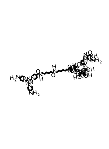 Nc1nc2c(ncn2[C@H]2CC(O)[C@@H](COP(=O)(O)OP(=O)(O)OP(=O)(O)OP(=O)(O)OP(=O)(O)OP(=O)(O)OCCCCCCNC(=O)CCCCCNC(=O)C3CCN(c4nc(N5CCC(N)CC5)nc(N5CCC(N)CC5)n4)CC3)O2)c(=O)[nH]1